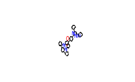 C1=C(c2ccccc2)NC(c2ccc3c(c2)oc2cc(-n4c5ccccc5c5ccc6c7ccccc7n(-c7ccccc7)c6c54)ccc23)N=C1c1ccccc1